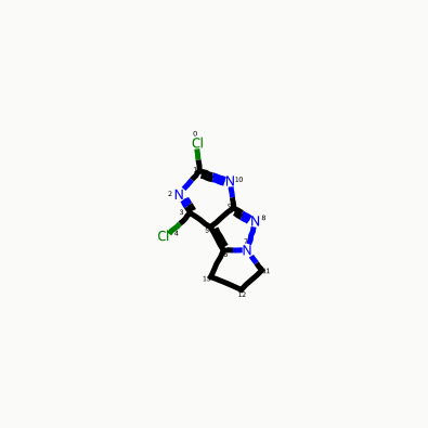 Clc1nc(Cl)c2c3n(nc2n1)CCC3